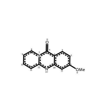 COc1ccc2c(=O)n3ccccc3nc2c1